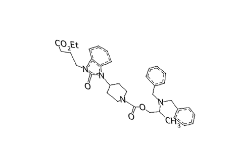 CCOC(=O)CCCn1c(=O)n(C2CCN(C(=O)OCC(C)N(Cc3ccccc3)Cc3ccccc3)CC2)c2ccccc21